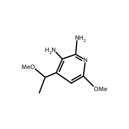 COc1cc(C(C)OC)c(N)c(N)n1